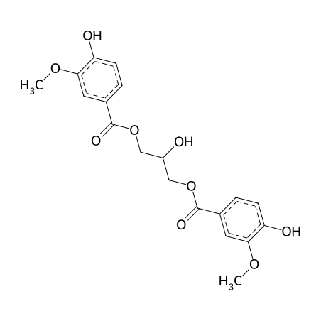 COc1cc(C(=O)OCC(O)COC(=O)c2ccc(O)c(OC)c2)ccc1O